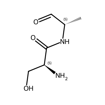 C[C@@H](C=O)NC(=O)[C@@H](N)CO